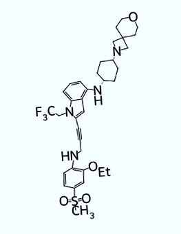 CCOc1cc(S(C)(=O)=O)ccc1NCC#Cc1cc2c(N[C@H]3CC[C@@H](N4CC5(CCOCC5)C4)CC3)cccc2n1CC(F)(F)F